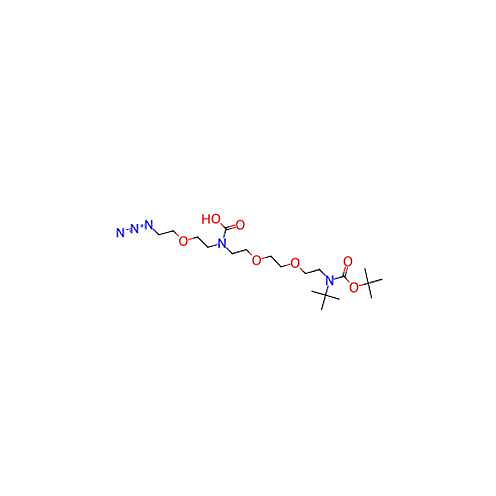 CC(C)(C)OC(=O)N(CCOCCOCCN(CCOCCN=[N+]=[N-])C(=O)O)C(C)(C)C